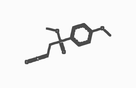 COc1ccc(P(=O)(CC=C=O)OC)cc1